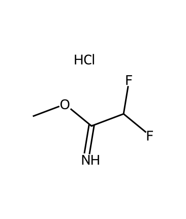 COC(=N)C(F)F.Cl